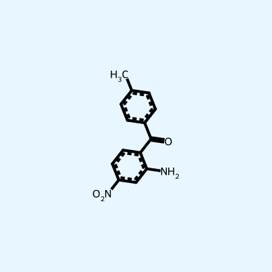 Cc1ccc(C(=O)c2ccc([N+](=O)[O-])cc2N)cc1